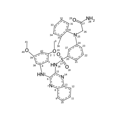 COc1cc(Nc2nc3ccccc3nc2NS(=O)(=O)c2cccc(N(CC(N)=O)c3ccccc3C)c2)cc(OC)c1